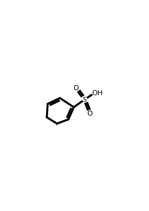 O=S(=O)(O)C1=C[CH]CC=C1